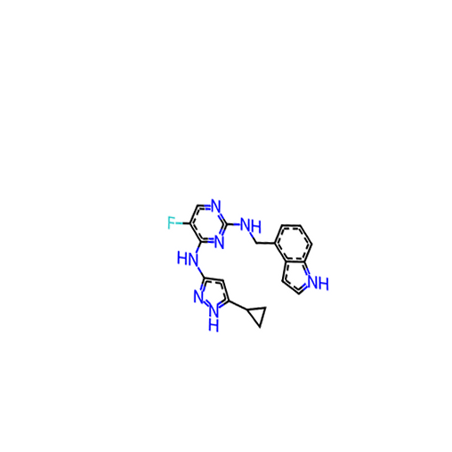 Fc1cnc(NCc2cccc3[nH]ccc23)nc1Nc1cc(C2CC2)[nH]n1